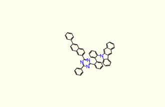 c1ccc(-c2ccc3cc(-c4nc(-c5ccccc5)nc(-c5ccccc5-c5ccccc5-n5c6ccccc6c6cc7ccccc7cc65)n4)ccc3c2)cc1